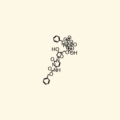 O=C(Nc1ccn([C@H]2CC(O)[C@@H](COP(=O)(O)OP(=O)(O)OP(=O)(O)OCc3ccccc3)O2)c(=O)n1)OCc1ccccc1